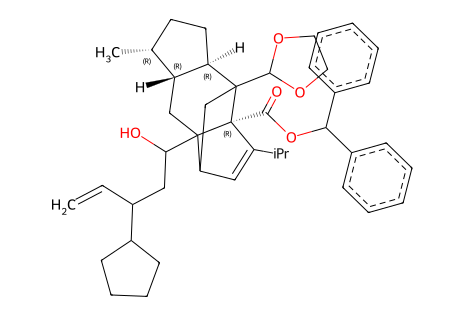 C=CC(CC(O)C12C[C@@H]3[C@H](C)CC[C@H]3C3(C4OCCO4)CC1C=C(C(C)C)[C@@]23C(=O)OC(c1ccccc1)c1ccccc1)C1CCCC1